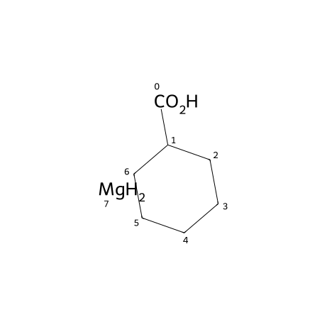 O=C(O)C1CCCCC1.[MgH2]